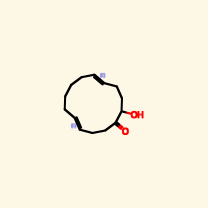 O=C1CC/C=C/CCCC/C=C/CCC1O